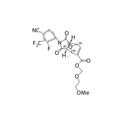 COCCOCOC(=O)C1=C[C@@]2(C)O[C@]1(C)[C@@H]1C(=O)N(c3ccc(C#N)c(C(F)(F)F)c3F)C(=O)[C@@H]12